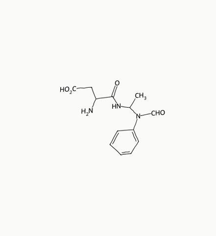 CC(NC(=O)C(N)CC(=O)O)N(C=O)c1ccccc1